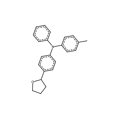 Cc1ccc(N(c2ccccc2)c2ccc(C3CCCO3)cc2)cc1